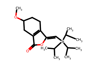 COC1CCC2=C(C1)C(=O)O/C2=C\[Si](C(C)C)(C(C)C)C(C)C